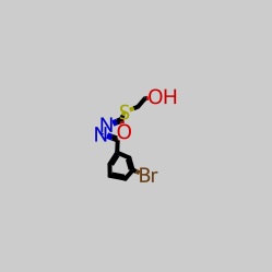 OCCSc1nnc(-c2cccc(Br)c2)o1